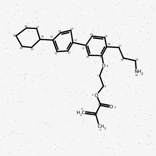 C=C(C)C(=O)OCCOc1cc(-c2ccc(C3CCCCC3)cc2)ccc1CCCN